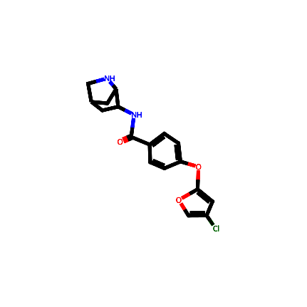 O=C(NC1CC2CNC1C2)c1ccc(Oc2cc(Cl)co2)cc1